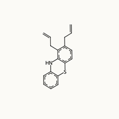 C=CCc1ccc2c(c1CC=C)Nc1ccccc1S2